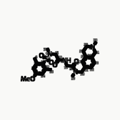 COc1cc(C)c(S(=O)(=O)N(C)CC(=O)NCC(=O)N(C)Cc2ccc3c(c2)CCN(C)C3)c(C)c1